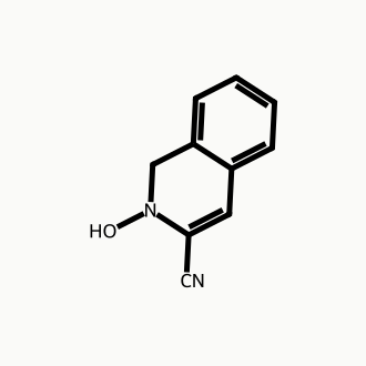 N#CC1=Cc2ccccc2CN1O